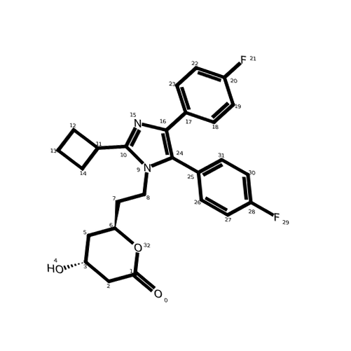 O=C1C[C@H](O)C[C@@H](CCn2c(C3CCC3)nc(-c3ccc(F)cc3)c2-c2ccc(F)cc2)O1